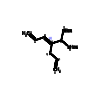 C=C/C=C(\SC=C)C(CCCCCC)CCCCCC